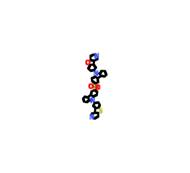 O=S(=O)(c1ccc2c(c1)c1ccccc1n2-c1ccc2oc3ccncc3c2c1)c1ccc2c(c1)c1ccccc1n2-c1ccc2sc3ccncc3c2c1